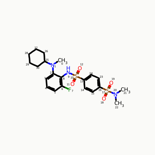 CN(c1cccc(F)c1NS(=O)(=O)c1ccc(S(=O)(=O)N(C)C)cc1)C1CCCCC1